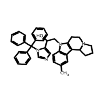 Cc1ccc2c(c1)c1c(n2CC(O)c2cncn2C(c2ccccc2)(c2ccccc2)c2ccccc2)CCN2CCCC12